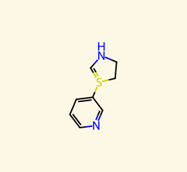 C1=S(c2cccnc2)CCN1